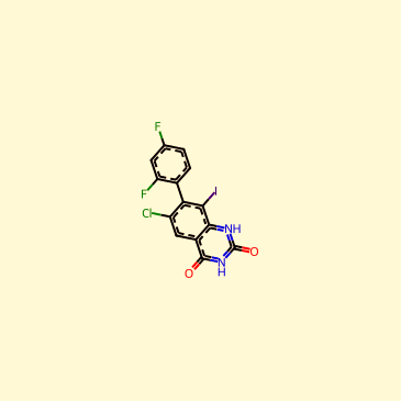 O=c1[nH]c(=O)c2cc(Cl)c(-c3ccc(F)cc3F)c(I)c2[nH]1